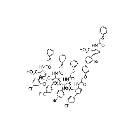 O=C(COc1ccccc1)Nc1scc(-c2ccc(Cl)cc2)c1C(=O)O.O=C(CSc1ccccc1)Nc1scc(-c2ccc(Br)cc2)c1C(=O)O.O=C(CSc1ccccc1)Nc1scc(-c2ccc(C(F)(F)F)cc2)c1C(=O)O.O=C(CSc1ccccc1)Nc1scc(-c2ccc(Cl)cc2Cl)c1C(=O)O.O=C(CSc1ccccc1)Nc1scc(-c2ccccc2Br)c1C(=O)O